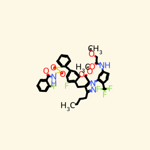 CCCCc1nn(-c2cc(NC(=O)COC)ccc2C(F)(F)F)c(C(=O)OC)c1Cc1ccc(-c2ccccc2S(=O)(=O)NC(=O)c2ccccc2F)cc1F